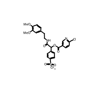 COc1ccc(CCNC(=O)C(OC(=O)c2ccc(Cl)nc2)c2ccc(S(=O)(=O)C(F)(F)F)cc2)cc1OC